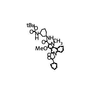 COc1c(C(=O)NC2CCCC(NC(=O)OC(C)(C)C)C2)n(C)c2c1c(=O)n(CC(=O)c1ccccc1)c1ccccc21